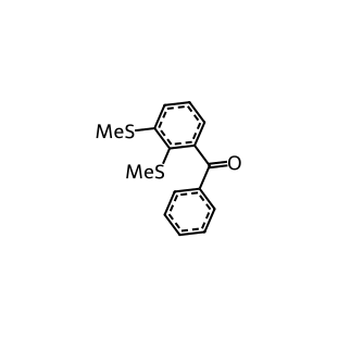 CSc1cccc(C(=O)c2ccccc2)c1SC